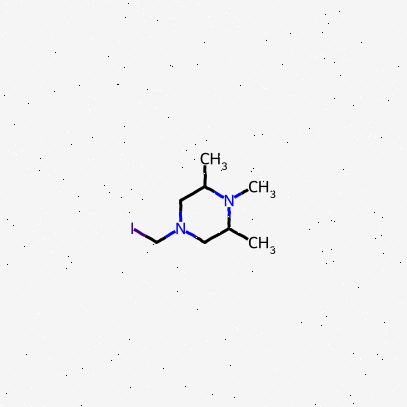 CC1CN(CI)CC(C)N1C